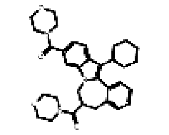 O=C(c1ccc2c(C3CCCCC3)c3n(c2c1)CC(C(=O)N1CCOCC1)Cc1ccccc1-3)N1CCOCC1